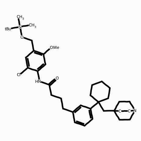 COc1cc(NC(=O)CCCc2cccc(C3(CC45CCN(CC4)CC5)CCCCC3)c2)c(Cl)cc1CO[Si](C)(C)C(C)(C)C